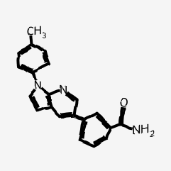 Cc1ccc(-n2ccc3cc(-c4cccc(C(N)=O)c4)cnc32)cc1